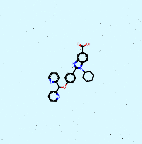 O=C(O)c1ccc2c(c1)nc(-c1ccc(OC(c3ccccn3)c3ccccn3)cc1)n2C1CCCCC1